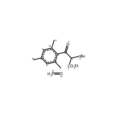 CCCCC(C(=O)OCC)C(=O)c1c(C)cc(C)cc1C.O=[PH3]